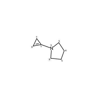 C1=C(N2CCCC2)C1